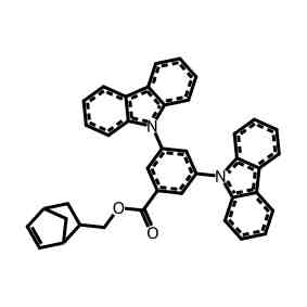 O=C(OCC1CC2C=CC1C2)c1cc(-n2c3ccccc3c3ccccc32)cc(-n2c3ccccc3c3ccccc32)c1